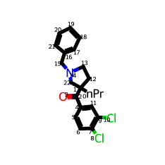 CCCC1(C(=O)c2ccc(Cl)c(Cl)c2)CCN(Cc2ccccc2)C1